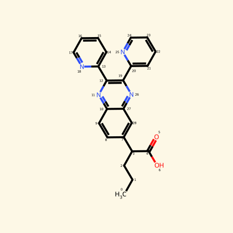 CCCC(C(=O)O)c1ccc2nc(-c3ccccn3)c(-c3ccccn3)nc2c1